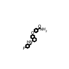 NC(=O)c1ccc(Oc2ccc3c(c2)CCCC3NCc2ccc(F)cc2)cc1